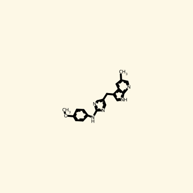 COc1ccc(Nc2ncc(Cc3c[nH]c4ncc(C)cc34)cn2)cc1